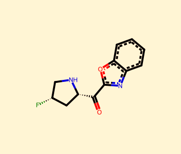 O=C(c1nc2ccccc2o1)[C@@H]1C[C@H](F)CN1